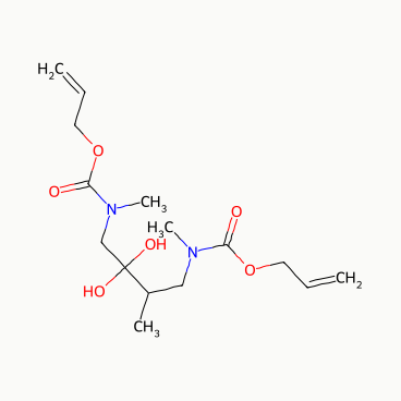 C=CCOC(=O)N(C)CC(C)C(O)(O)CN(C)C(=O)OCC=C